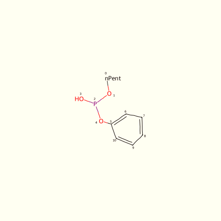 CCCCCOP(O)Oc1ccccc1